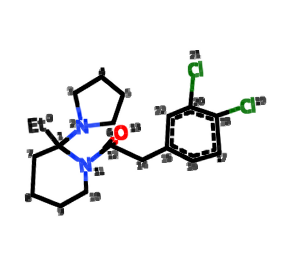 CCC1(N2CCCC2)CCCCN1C(=O)Cc1ccc(Cl)c(Cl)c1